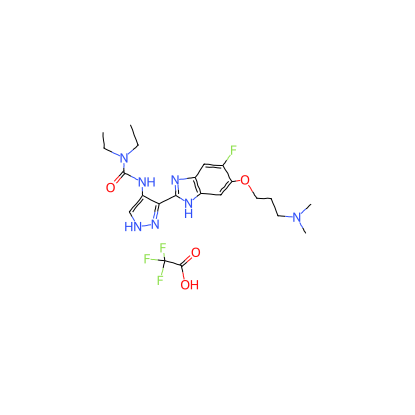 CCN(CC)C(=O)Nc1c[nH]nc1-c1nc2cc(F)c(OCCCN(C)C)cc2[nH]1.O=C(O)C(F)(F)F